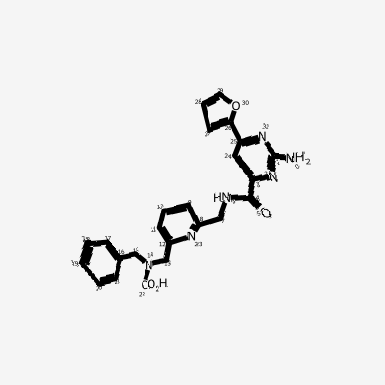 Nc1nc(C(=O)NCc2cccc(CN(Cc3ccccc3)C(=O)O)n2)cc(-c2ccco2)n1